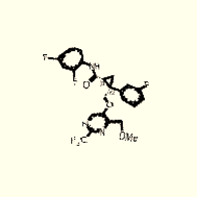 COCc1nc(C)ncc1OC[C@@]1(c2cccc(F)c2)C[C@H]1C(=O)Nc1ccc(F)cc1F